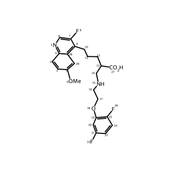 COc1ccc2ncc(F)c(CCCC(CNCCOc3cc(F)ccc3F)C(=O)O)c2c1